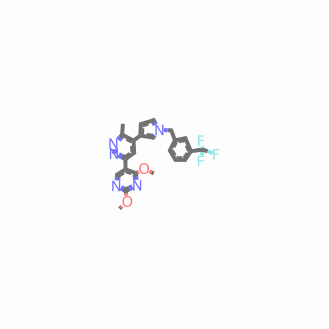 COc1ncc(-c2cc(-c3ccn(Cc4cccc(C(F)(F)F)c4)c3)c(C)nn2)c(OC)n1